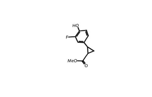 COC(=O)C1CC1c1ccc(O)c(F)c1